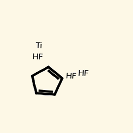 C1=CCC=C1.F.F.F.[Ti]